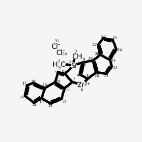 C[Si]1(C)C2=C[CH]([Zr+2][CH]3C1=Cc1c3ccc3ccccc13)c1ccc3ccccc3c12.[Cl-].[Cl-]